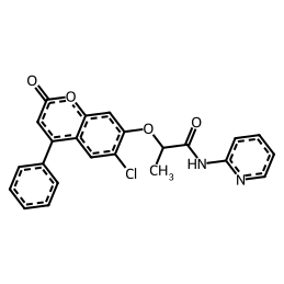 CC(Oc1cc2oc(=O)cc(-c3ccccc3)c2cc1Cl)C(=O)Nc1ccccn1